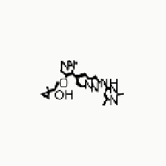 Cc1cc(Nc2cc3cc(-c4c(OCC(O)C5(C)CC5)cnn4C)ccn3n2)nc(C)n1